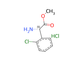 COC(=O)[C@@H](N)c1ccccc1Cl.Cl